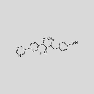 COC(C(=O)NCc1ccc(C#N)cc1)c1ccc(-c2cccnc2)cc1F